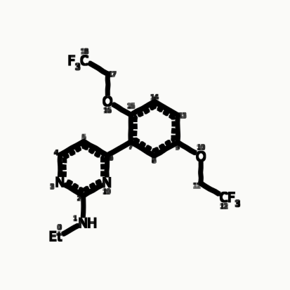 CCNc1nccc(-c2cc(OCC(F)(F)F)ccc2OCC(F)(F)F)n1